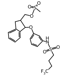 CS(=O)(=O)OCC1Cc2ccccc2C1Oc1cccc(NS(=O)(=O)CCCC(F)(F)F)c1